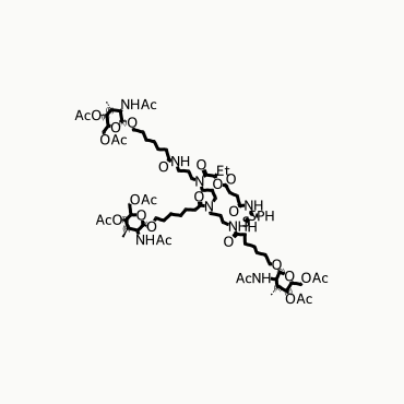 CCC(OC(=O)CCC(=O)N[SH](=P)=S)C(=O)N(CCCNC(=O)CCCCCCO[C@@H]1OC(COC(C)=O)[C@H](OC(C)=O)[C@H](C)C1NC(C)=O)CCCN(CCCNC(=O)CCCCCCO[C@@H]1OC(COC(C)=O)[C@H](OC(C)=O)[C@H](C)C1NC(C)=O)C(=O)CCCCCCO[C@@H]1OC(COC(C)=O)[C@H](OC(C)=O)[C@H](C)C1NC(C)=O